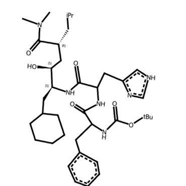 CC(C)C[C@H](C[C@H](O)[C@H](CC1CCCCC1)NC(=O)C(Cc1c[nH]cn1)NC(=O)C(Cc1ccccc1)NC(=O)OC(C)(C)C)C(=O)N(C)C